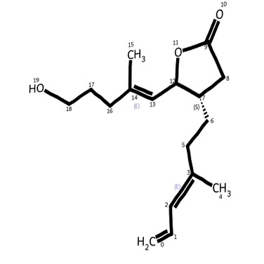 C=C/C=C(\C)CC[C@H]1CC(=O)OC1/C=C(\C)CCCO